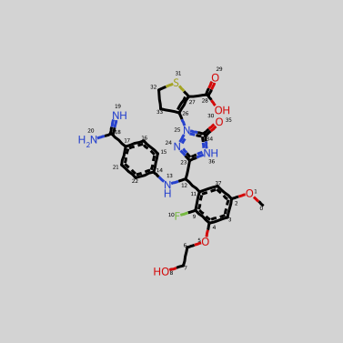 COc1cc(OCCO)c(F)c(C(Nc2ccc(C(=N)N)cc2)c2nn(C3=C(C(=O)O)SCC3)c(=O)[nH]2)c1